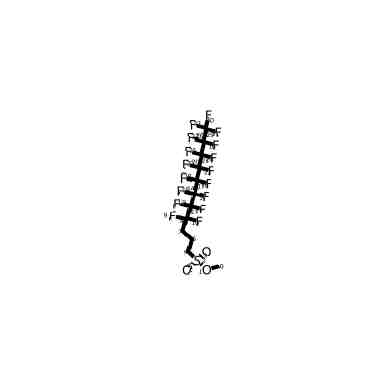 COS(=O)(=O)CCCC(F)(F)C(F)(F)C(F)(F)C(F)(F)C(F)(F)C(F)(F)C(F)(F)C(F)(F)F